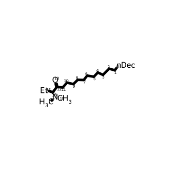 CCCCCCCCCCCCCCCCCCCCCC(=O)C(CC)N(C)C